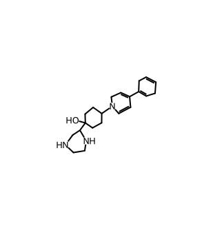 OC1(C2CNCCN2)CCC(N2C=CC(C3=CCC=CC3)=CC2)CC1